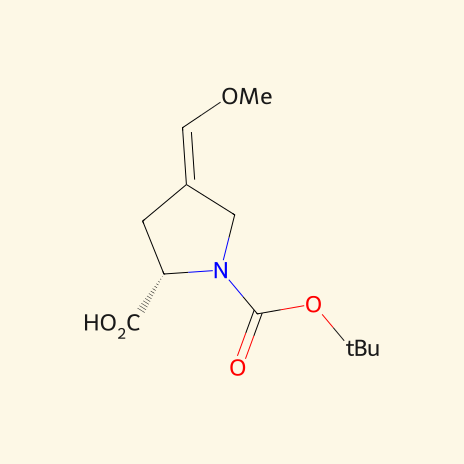 COC=C1C[C@@H](C(=O)O)N(C(=O)OC(C)(C)C)C1